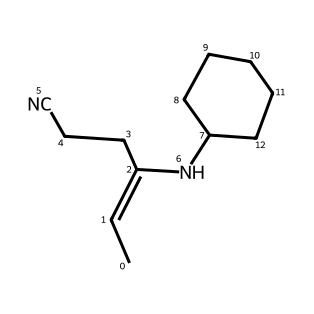 C/C=C(/CCC#N)NC1CCCCC1